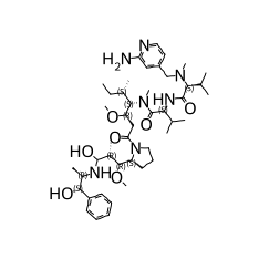 CC[C@H](C)[C@@H]([C@@H](CC(=O)N1CCC[C@H]1[C@H](OC)[C@@H](C)C(O)N[C@H](C)[C@@H](O)c1ccccc1)OC)N(C)C(=O)[C@@H](NC(=O)[C@H](C(C)C)N(C)Cc1ccnc(N)c1)C(C)C